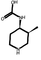 C[C@H]1CNCC[C@H]1NC(=O)O